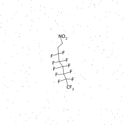 O=[N+]([O-])CCC(F)(F)C(F)(F)C(F)(F)C(F)(F)C(F)(F)C(F)(F)F